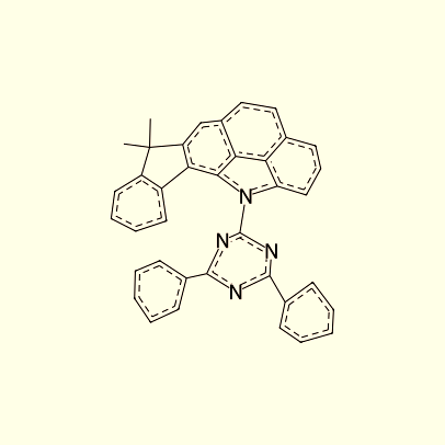 CC1(C)c2ccccc2-c2c1cc1ccc3cccc4c3c1c2n4-c1nc(-c2ccccc2)nc(-c2ccccc2)n1